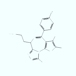 COCCC1N=C(c2ccc(C(C)C)cc2)c2c(sc(C)c2C)-n2c(C)nnc21